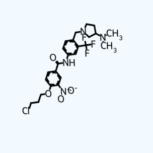 CN(C)C1CCN(Cc2ccc(NC(=O)c3ccc(OCCCCl)c([N+](=O)[O-])c3)cc2C(F)(F)F)C1